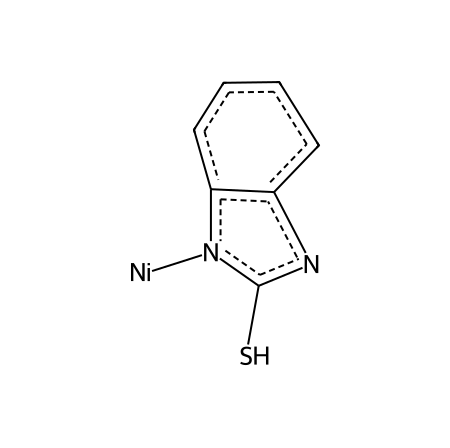 Sc1nc2ccccc2[n]1[Ni]